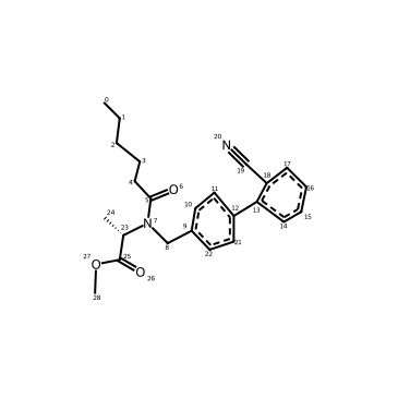 CCCCCC(=O)N(Cc1ccc(-c2ccccc2C#N)cc1)[C@@H](C)C(=O)OC